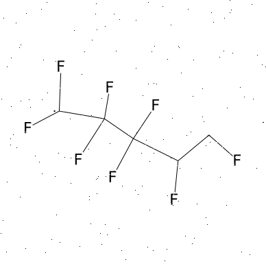 FCC(F)C(F)(F)C(F)(F)[C](F)F